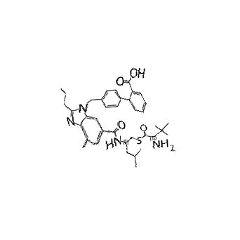 CCCc1nc2c(C)cc(C(=O)N[C@@H](CSC(=O)[C@@H](N)C(C)(C)C)CC(C)C)cc2n1Cc1ccc(-c2ccccc2C(=O)O)cc1